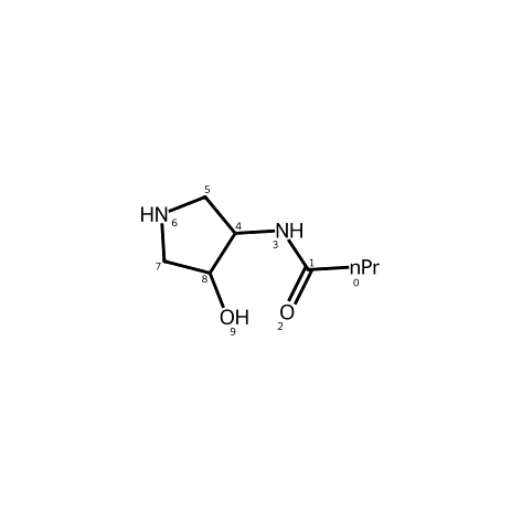 CCCC(=O)NC1CNCC1O